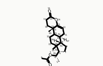 CC(=O)O[C@@H](C)[C@H]1CC[C@H]2[C@@H]3CC=C4OC(=O)CC[C@@]4(C)C3CCC12C